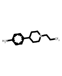 Nc1ccc(C2CCN(CCC(F)(F)F)CC2)cc1